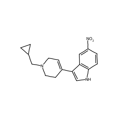 O=[N+]([O-])c1ccc2[nH]cc(C3=CCN(CC4CC4)CC3)c2c1